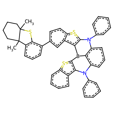 CC12CCCCC1(C)c1cccc(-c3ccc4sc5c(c4c3)B3c4sc6ccccc6c4N(c4ccccc4)c4cccc(c43)N5c3ccccc3)c1S2